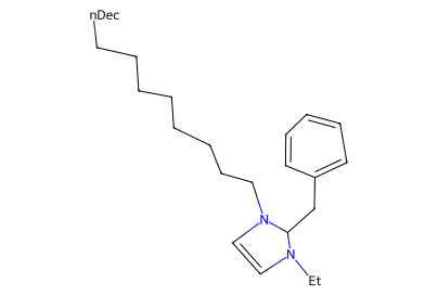 CCCCCCCCCCCCCCCCCCN1C=CN(CC)C1Cc1ccccc1